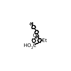 CCc1cc(C=CC(=O)O)cc(N(Cc2ccc(-c3ccc(N(C)C)cc3)cc2)C(=O)C2CCCCC2)c1